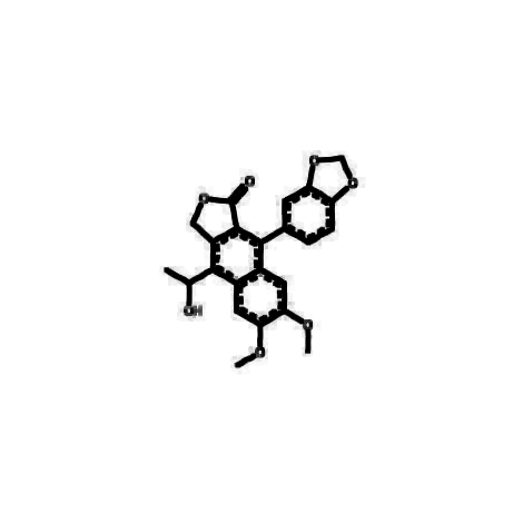 COc1cc2c(-c3ccc4c(c3)OCO4)c3c(c(C(C)O)c2cc1OC)COC3=O